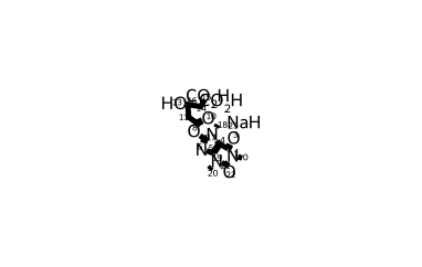 Cn1c(=O)c2c(nc(OC(=O)CC(O)(CC(=O)O)C(=O)O)n2C)n(C)c1=O.[NaH]